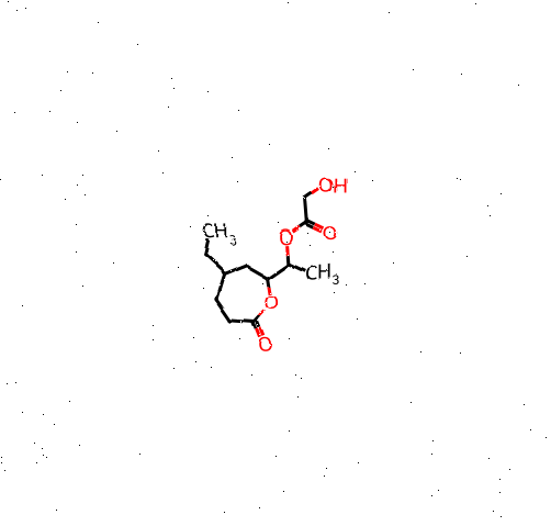 CCC1CCC(=O)OC(C(C)OC(=O)CO)C1